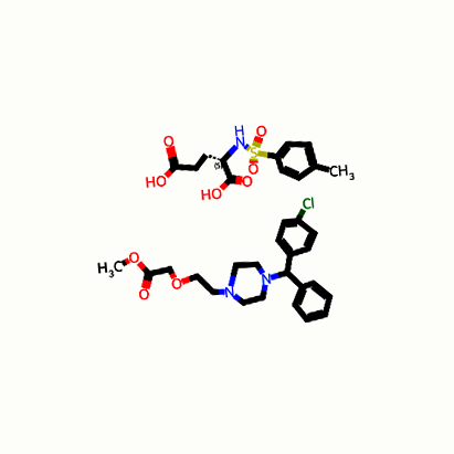 COC(=O)COCCN1CCN(C(c2ccccc2)c2ccc(Cl)cc2)CC1.Cc1ccc(S(=O)(=O)N[C@@H](CCC(=O)O)C(=O)O)cc1